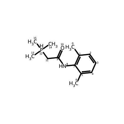 Cc1cccc(C)c1NC(=O)C[PH](C)(C)C